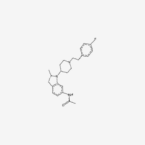 CC(=O)Nc1ccc2c(c1)N(C1CCN(CCc3ccc(F)cc3)CC1)C(C)C2